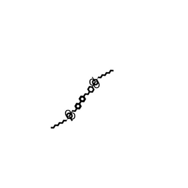 CCCCCCCC[C@@H]1CO[C@@H](CCc2ccc(-c3ccc(CCC4CCC([C@@H]5OC[C@@H](CCCCCCCC)[C@H](C)O5)CC4)cc3)cc2)OC1C